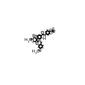 COc1ccc(CN2C(=O)C3(CCN(C)CC3)c3c(Br)cc(C(=O)Nc4ccc(OC(F)(F)Cl)cc4)cc32)cc1